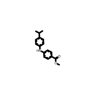 COC(=O)c1ccc(Nc2ccc(C(C)C)cc2)cc1